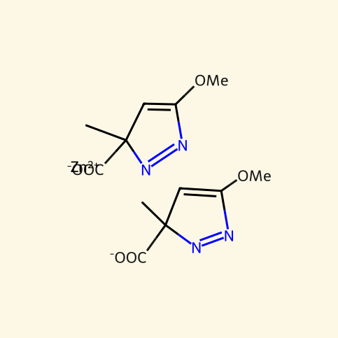 COC1=CC(C)(C(=O)[O-])N=N1.COC1=CC(C)(C(=O)[O-])N=N1.[Zn+2]